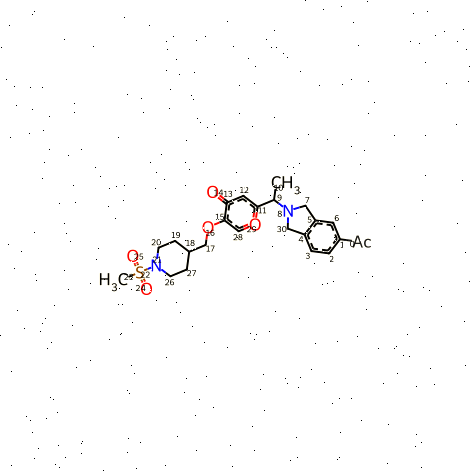 CC(=O)c1ccc2c(c1)CN(C(C)c1cc(=O)c(OCC3CCN(S(C)(=O)=O)CC3)co1)C2